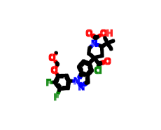 COCOc1cc(-n2ncc3cc(C4(C(=O)Cl)CCN(C(=O)O)C(C(C)(C)C)C4)ccc32)cc(F)c1F